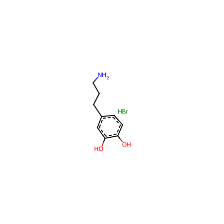 Br.NC[CH]Cc1ccc(O)c(O)c1